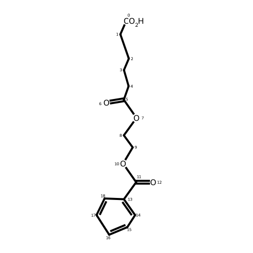 O=C(O)CCCCC(=O)OCCOC(=O)c1ccccc1